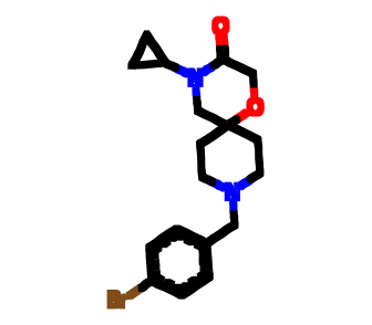 O=C1COC2(CCN(Cc3ccc(Br)cc3)CC2)CN1C1CC1